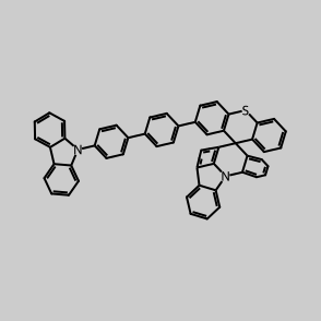 c1ccc2c(c1)Sc1ccc(-c3ccc(-c4ccc(-n5c6ccccc6c6ccccc65)cc4)cc3)cc1C21c2ccccc2-n2c3ccccc3c3cccc1c32